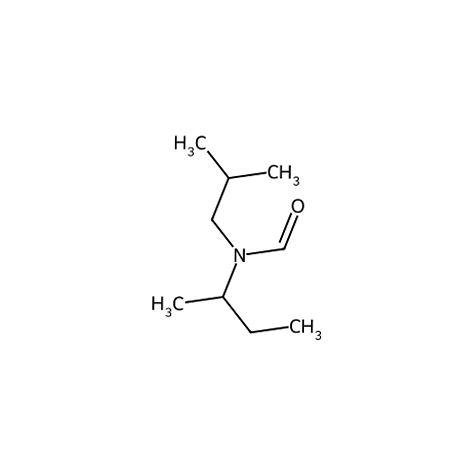 CCC(C)N(C=O)CC(C)C